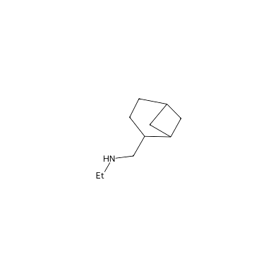 CCNCC1CCC2CC1C2